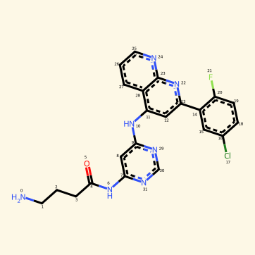 NCCCC(=O)Nc1cc(Nc2cc(-c3cc(Cl)ccc3F)nc3ncccc23)ncn1